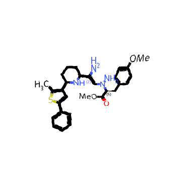 COC(=O)[C@H](Cc1ccc(OC)cc1)N(N)/C=C(\N)C1CCCC(c2cc(-c3ccccc3)sc2C)N1